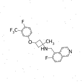 CC1(NCc2c(F)ccc3cnccc23)CC(Oc2ccc(F)c(C(F)(F)F)c2)C1